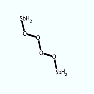 [SbH2][O]OO[O][SbH2]